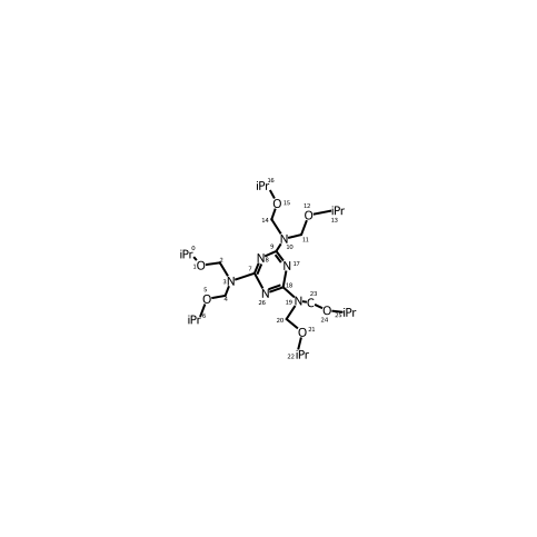 CC(C)OCN(COC(C)C)c1nc(N(COC(C)C)COC(C)C)nc(N(COC(C)C)COC(C)C)n1